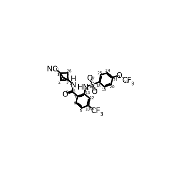 N#CC12CC(NC(=O)c3ccc(C(F)(F)F)cc3NS(=O)(=O)c3ccc(OC(F)(F)F)cc3)(C1)C2